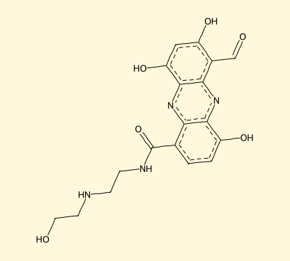 O=Cc1c(O)cc(O)c2nc3c(C(=O)NCCNCCO)ccc(O)c3nc12